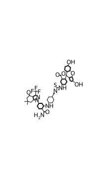 CC1(C)CC(=O)c2c(C(F)(F)F)nn(-c3ccc(C(N)=O)c(NC4CCC(C#[N+]C(=S)Nc5ccc6c(c5)C(=O)OC65c6ccc(O)cc6Oc6cc(O)ccc65)CC4)c3)c2C1